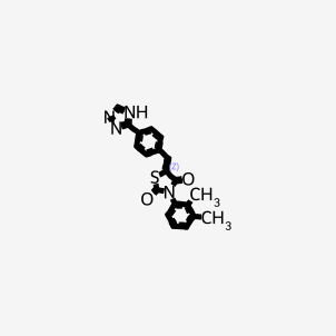 Cc1cccc(N2C(=O)S/C(=C\c3ccc(-c4nnc[nH]4)cc3)C2=O)c1C